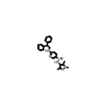 Cc1nn(C)c(C)c1N[S+]([O-])c1ccc(NCC(c2ccccc2)c2ccccc2)nc1